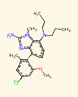 CCCN(CCC)c1ccc(-c2c(C)cc(Cl)cc2OC)c2nc(N)n(C)c12